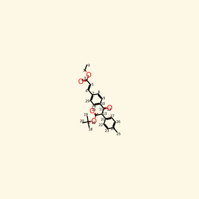 CCOC(=O)C=Cc1ccc(C(=O)C(C(=O)OC(C)(C)C)c2ccc(C)cc2)cc1